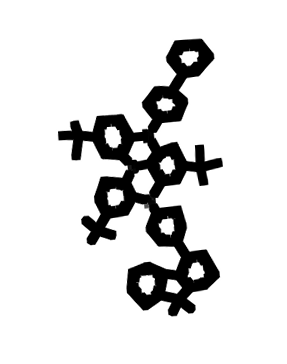 CC(C)(C)c1ccc2c(c1)B1c3ccc(C(C)(C)C)cc3N(c3ccc(-c4cccc5c4-c4ccccc4C5(C)C)cc3)c3cc(C(C)(C)C)cc(c31)N2c1ccc(-c2ccccc2)cc1